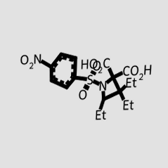 CCC1N(S(=O)(=O)c2ccc([N+](=O)[O-])cc2)C(C(=O)O)(C(=O)O)C1(CC)CC